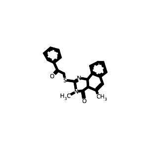 CC1=Cc2ccccc2C2N=C(SCC(=O)c3ccccc3)N(C)C(=O)C12